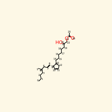 CCCC[C@@H](C)CC=C[C@H]1C=CC[C@@H]1CCCCCCC(O)COC(C)=O